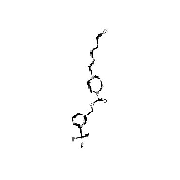 O=CCCCCN1CCN(C(=O)OCc2cccc(C(F)(F)F)c2)CC1